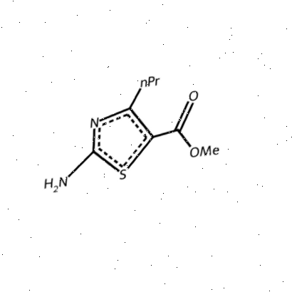 CCCc1nc(N)sc1C(=O)OC